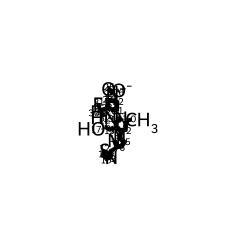 Cc1cc(-n2ccc(-c3nccs3)n2)c(CCO)c(Nc2ccc([N+](=O)[O-])cc2C(F)(F)F)n1